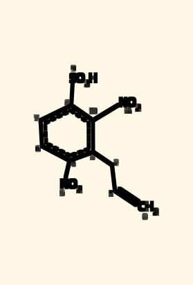 C=CCc1c([N+](=O)[O-])ccc(S(=O)(=O)O)c1[N+](=O)[O-]